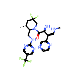 CN/C=C(\C(=N)C(=O)N1CC(F)(F)C[C@@H](C)C1CNc1ncc(C(F)(F)F)cn1)c1cnccn1